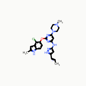 C/C=C/c1cc(Nc2cc(N3CCN(C)CC3)nc(Oc3ccc4[nH]c(C)cc4c3Cl)n2)n[nH]1